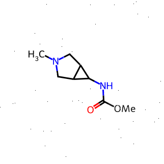 COC(=O)NC1C2CN(C)CC21